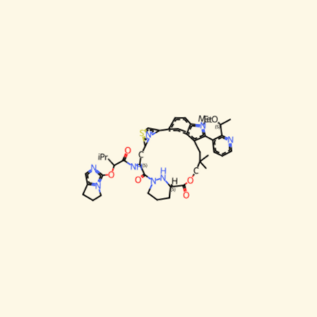 CCn1c(-c2cccnc2[C@H](C)OC)c2c3cc(ccc31)-c1csc(n1)C[C@H](NC(=O)C(Oc1ncc3n1CCC3)C(C)C)C(=O)N1CCC[C@H](N1)C(=O)OCC(C)(C)C2